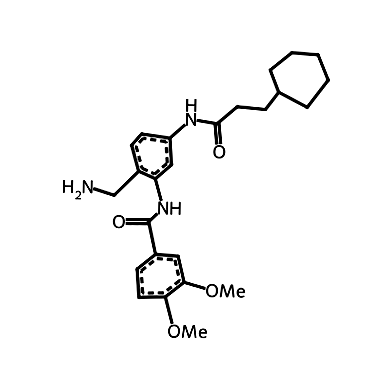 COc1ccc(C(=O)Nc2cc(NC(=O)CCC3CCCCC3)ccc2CN)cc1OC